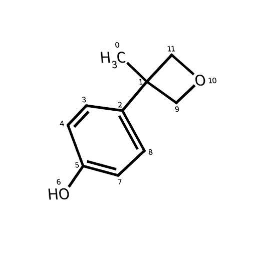 CC1(c2ccc(O)cc2)COC1